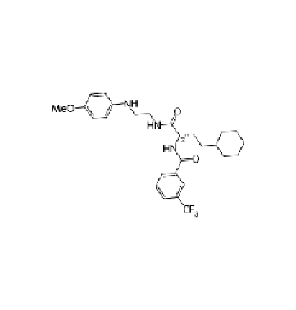 COc1ccc(NCCNC(=O)[C@H](CCC2CCCCC2)NC(=O)c2cccc(C(F)(F)F)c2)cc1